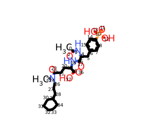 CC(=O)NC(Cc1ccc(P(=O)(O)O)cc1)C(=O)NC(CCC(=O)N(C)CCCC1CCCCC1)C(=O)O